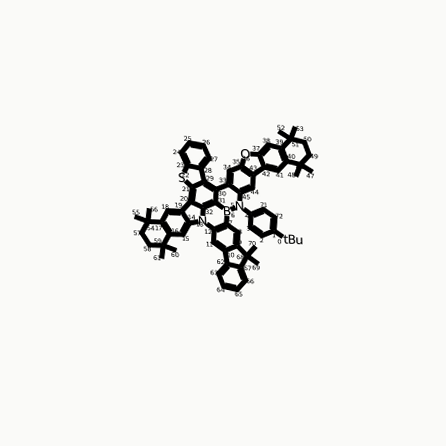 CC(C)(C)c1ccc(N2B3c4cc5c(cc4-n4c6cc7c(cc6c6c8sc9ccccc9c8c(c3c64)-c3cc4oc6cc8c(cc6c4cc32)C(C)(C)CCC8(C)C)C(C)(C)CCC7(C)C)-c2ccccc2C5(C)C)cc1